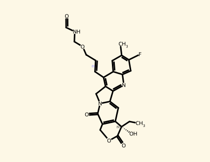 CC[C@@]1(O)C(=O)OCc2c1cc1n(c2=O)Cc2c-1nc1cc(F)c(C)cc1c2/C=C/COCNC=O